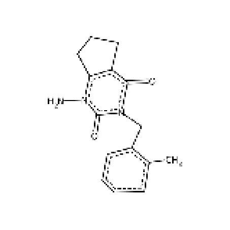 Cc1ccccc1Cn1c(=O)c2c(n(N)c1=O)CCC2